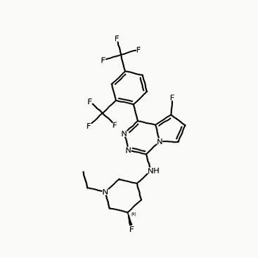 CCN1CC(Nc2nnc(-c3ccc(C(F)(F)F)cc3C(F)(F)F)c3c(F)ccn23)C[C@@H](F)C1